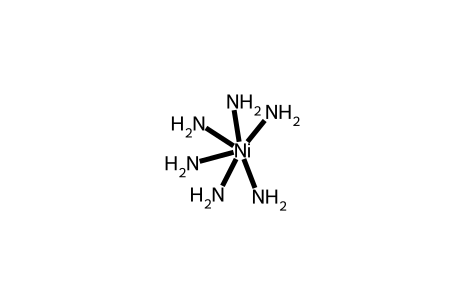 [NH2][Ni]([NH2])([NH2])([NH2])([NH2])[NH2]